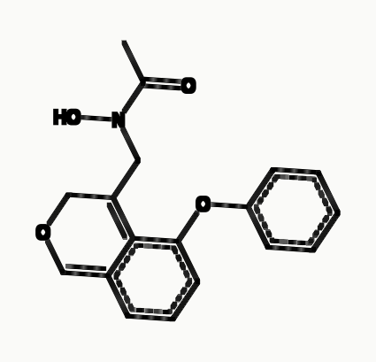 CC(=O)N(O)CC1=c2c(Oc3ccccc3)cccc2=COC1